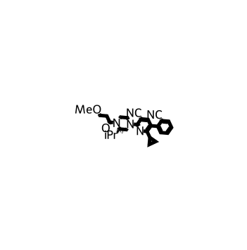 COCCC(=O)N1CCN(c2nc(C3CC3)c(-c3ccccc3C#N)cc2C#N)C[C@H]1C(C)C